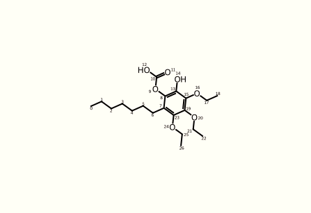 CCCCCCCc1c(OC(=O)O)c(O)c(OCC)c(OCC)c1OCC